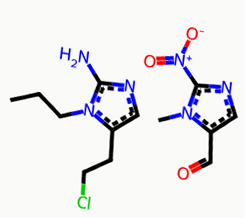 CCCn1c(CCCl)cnc1N.Cn1c(C=O)cnc1[N+](=O)[O-]